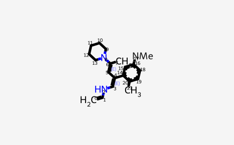 C=CN/C=C(\C=C(/C)N1CCCCC1)c1cc(NC)ccc1C